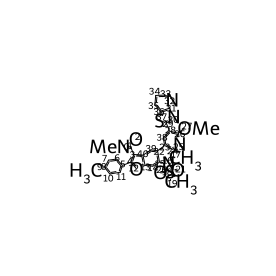 CNC(=O)c1c(-c2ccc(C)cc2)oc2cc(N(C)S(C)(=O)=O)c(-c3cnc(OC)c(-c4nc5ncccc5s4)c3)cc12